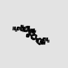 Cc1cn2cc(NC(=O)c3ccc(N4CCN[C@H](C)C4)cc3F)ncc2n1.Cl